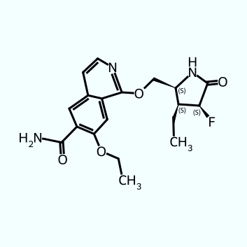 CCOc1cc2c(OC[C@H]3NC(=O)[C@@H](F)[C@H]3CC)nccc2cc1C(N)=O